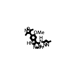 COc1cc2c(cc1-c1c(C)noc1C)[nH]c1ncnc(Nc3cc(C)nn3C(C)C)c12